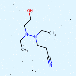 CCN(CCO)N(CC)CCC#N